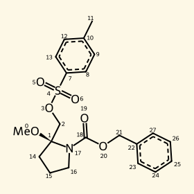 CO[C@]1(COS(=O)(=O)c2ccc(C)cc2)CCCN1C(=O)OCc1ccccc1